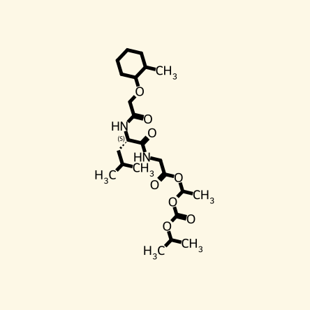 CC(C)C[C@H](NC(=O)COC1CCCCC1C)C(=O)NCC(=O)OC(C)OC(=O)OC(C)C